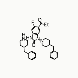 CCC(=O)c1cc2c(cc1F)[nH]c(=O)n2N1CCC(Cc2ccccc2)CC1.c1ccc(CC2CCNCC2)cc1